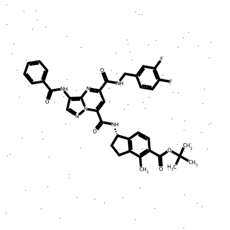 Cc1c(C(=O)OC(C)(C)C)ccc2c1CC[C@@H]2NC(=O)c1cc(C(=O)NCc2ccc(F)c(F)c2)nc2c(NC(=O)c3ccccc3)cnn12